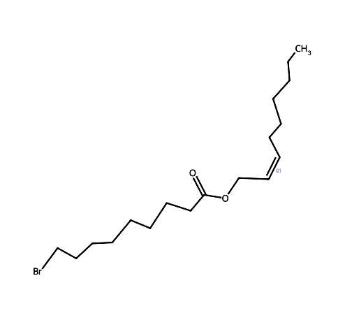 CCCCCC/C=C\COC(=O)CCCCCCCCBr